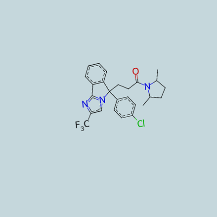 CC1CCC(C)N1C(=O)CCC1(c2ccc(Cl)cc2)c2ccccc2-c2nc(C(F)(F)F)cn21